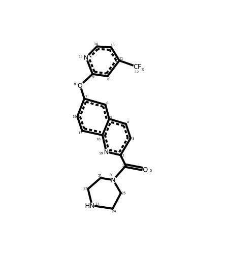 O=C(c1ccc2cc(Oc3cc(C(F)(F)F)ccn3)ccc2n1)N1CCNCC1